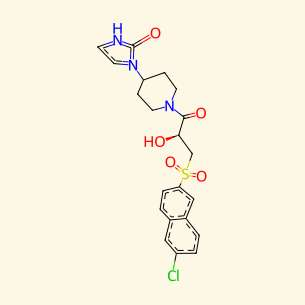 O=C([C@H](O)CS(=O)(=O)c1ccc2cc(Cl)ccc2c1)N1CCC(n2cc[nH]c2=O)CC1